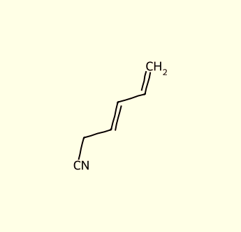 C=CC=CCC#N